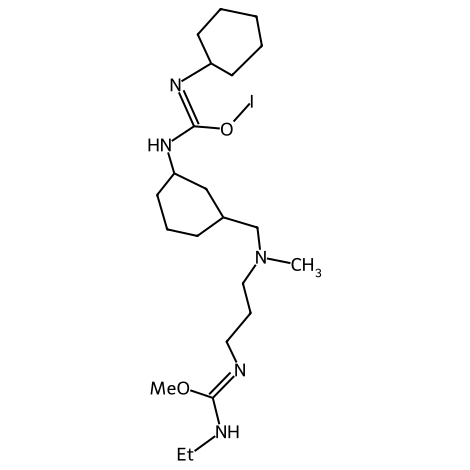 CCN/C(=N/CCCN(C)CC1CCCC(N/C(=N/C2CCCCC2)OI)C1)OC